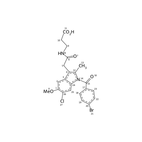 COc1cc2c(CC(=O)NCCC(=O)O)c(C)n(C(=O)c3ccc(Br)cc3)c2cc1Cl